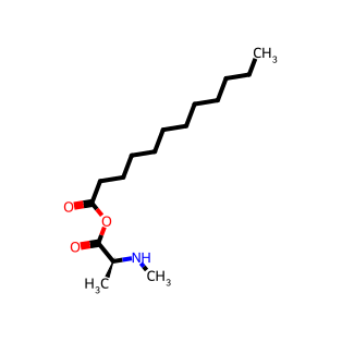 CCCCCCCCCCCC(=O)OC(=O)[C@H](C)NC